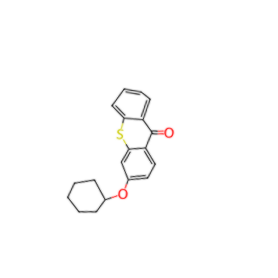 O=c1c2ccccc2sc2cc(OC3CCCCC3)ccc12